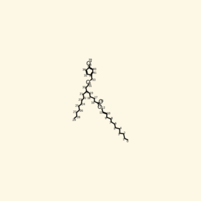 CCCCCCCCCCC=CCOC(=O)CCCCC(CCCCCCCCC)CCOCc1ccc(OC)cc1